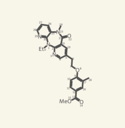 CCN1c2ncc(CCOc3ccc(C(=O)OC)cc3C)cc2C(=O)N(C)c2cccnc21